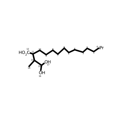 CC(C)CCCCCCCCCCC(C(=O)O)C(C)C(O)O